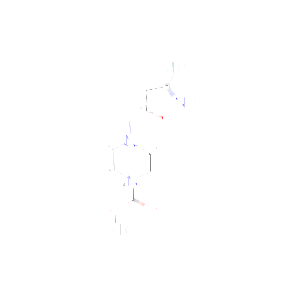 CC(C)(C)OC(=O)N1CCN(C[C@@H]2CC(Br)=NO2)CC1